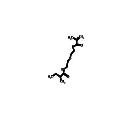 C=C(C)C(=O)OCCOCCNC(=O)C(C)CC